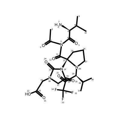 CC(=O)N(C(=O)[C@@H](N)C(C)C)C(=O)[C@]1(N2C(=O)CN(CC(=O)O)C2=O)CCCN1[C@H](C(=O)C(F)(F)F)C(C)C